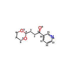 O=C(CCC1OCCCO1)c1cccnc1